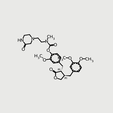 COc1ccc(C[C@H]2COC(=O)[C@@H]2Cc2ccc(OC(=O)N(C)CCN3CCNC(=O)C3)c(OC)c2)cc1OC